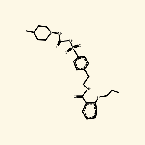 CCCOc1ccccc1C(=O)NCCc1ccc(S(=O)(=O)NC(=O)NN2CCC(C)CC2)cc1